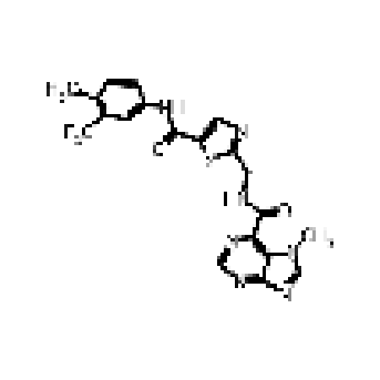 Cc1ccc(NC(=O)c2cnc(CNC(=O)c3ncnc4ncn(C)c34)s2)cc1C(F)(F)F